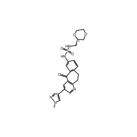 Cn1cc(-c2cnc3c(c2)C(=O)c2cc(NS(=O)(=O)NC[C@@H]4COCCO4)ccc2CC3)cn1